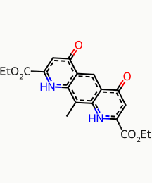 CCOC(=O)c1cc(=O)c2cc3c(=O)cc(C(=O)OCC)[nH]c3c(C)c2[nH]1